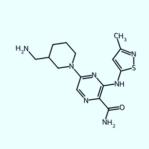 Cc1cc(Nc2nc(N3CCCC(CN)C3)cnc2C(N)=O)sn1